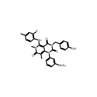 CC(=O)Nc1cccc(-n2c(=O)n(Cc3ccc(O)cc3)c(=O)c3c(Nc4ccc(I)cc4F)n(C)c(=O)c(C)c32)c1